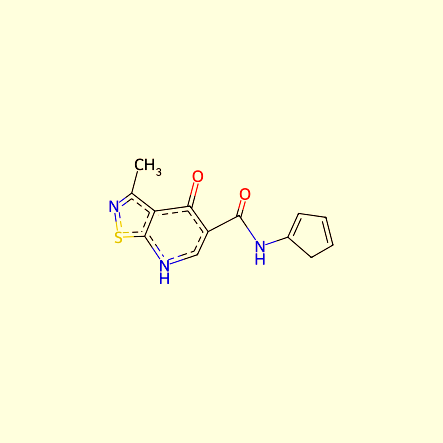 Cc1nsc2[nH]cc(C(=O)NC3=CC=CC3)c(=O)c12